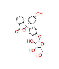 O=C1OC(c2ccc(O)cc2)(c2ccc(OC3O[C@H](CO)[C@@H](O)[C@H]3O)cc2)c2ccccc21